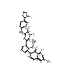 CN1CCCC1c1ccc(Nc2cc(-c3cccc(-n4ncc5cc(C(C)(C)C)cc(F)c5c4=O)c3CO)nn(C)c2=O)nc1